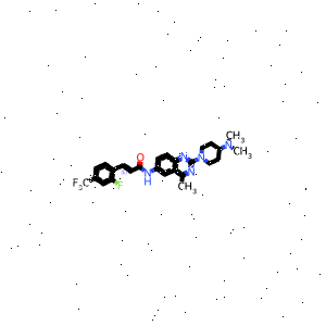 Cc1nc(N2CCC(N(C)C)CC2)nc2ccc(NC(=O)/C=C/c3ccc(C(F)(F)F)cc3F)cc12